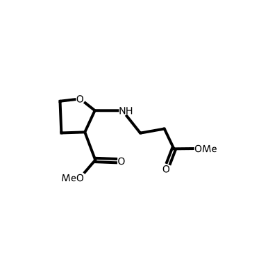 COC(=O)CCNC1OCCC1C(=O)OC